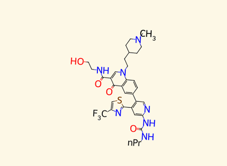 CCCNC(=O)Nc1cc(-c2nc(C(F)(F)F)cs2)c(-c2ccc3c(c2)c(=O)c(C(=O)NCCO)cn3CCC2CCN(C)CC2)cn1